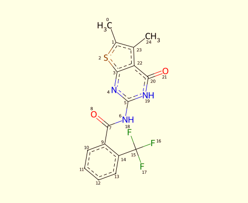 Cc1sc2nc(NC(=O)c3ccccc3C(F)(F)F)[nH]c(=O)c2c1C